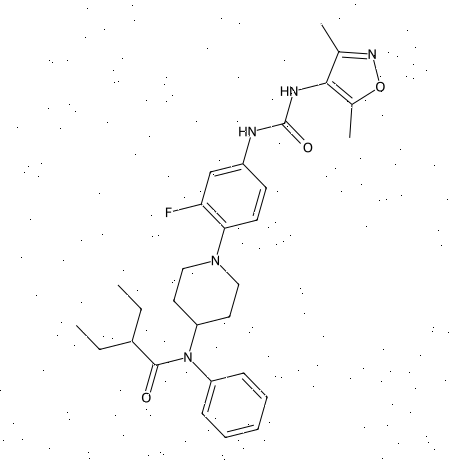 CCC(CC)C(=O)N(c1ccccc1)C1CCN(c2ccc(NC(=O)Nc3c(C)noc3C)cc2F)CC1